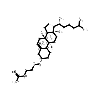 CC(C)CCC[C@@H](C)[C@H]1CC[C@@H]2[C@H]3CC=C4C[C@@H](SSCCNC(=N)N)CC[C@]4(C)[C@@H]3CC[C@@]21C